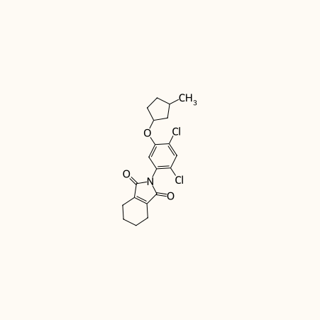 CC1CCC(Oc2cc(N3C(=O)C4=C(CCCC4)C3=O)c(Cl)cc2Cl)C1